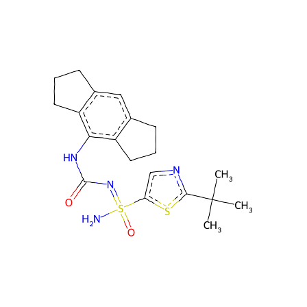 CC(C)(C)c1ncc(S(N)(=O)=NC(=O)Nc2c3c(cc4c2CCC4)CCC3)s1